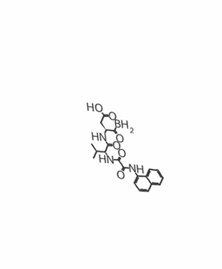 BC(=O)[C@H](CC(=O)O)NC(=O)[C@@H](NC(=O)C(=O)Nc1cccc2ccccc12)C(C)C